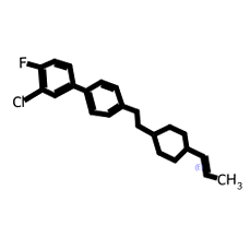 C/C=C/C1CCC(CCc2ccc(-c3ccc(F)c(Cl)c3)cc2)CC1